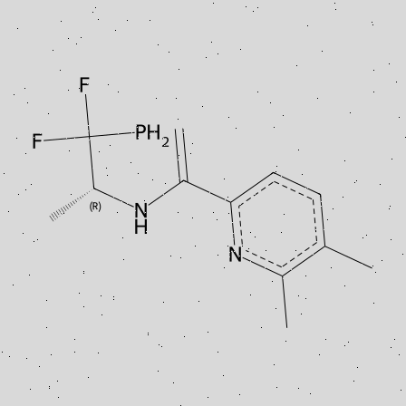 C=C(N[C@H](C)C(F)(F)P)c1ccc(C)c(C)n1